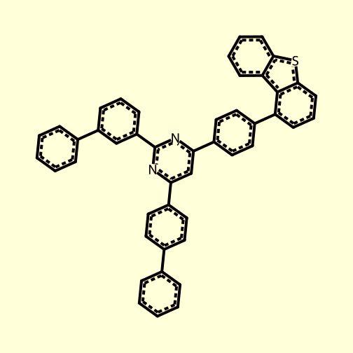 c1ccc(-c2ccc(-c3cc(-c4ccc(-c5cccc6sc7ccccc7c56)cc4)nc(-c4cccc(-c5ccccc5)c4)n3)cc2)cc1